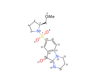 COC[C@@H]1CCCN1S(=O)(=O)c1ccc2c(c1)C(=O)C1=NCCCN12